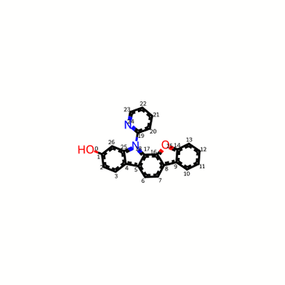 Oc1ccc2c3ccc4c5ccccc5oc4c3n(-c3ccccn3)c2c1